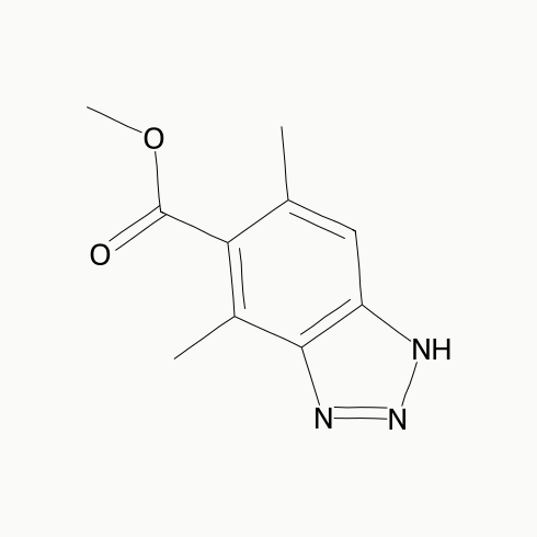 COC(=O)c1c(C)cc2[nH]nnc2c1C